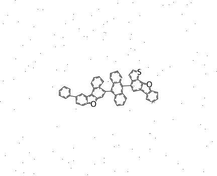 c1ccc(-c2ccc3oc4cc(-c5c6ccccc6c(-c6cc7c8ccccc8oc7c7sccc67)c6ccccc56)c5ccccc5c4c3c2)cc1